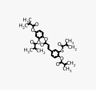 C=C(C)C(=O)Oc1ccc(OC(=O)/C=C/c2ccc(OC(=O)C(=C)C)c(SC(=O)C(=C)C)c2)c(OC(=O)C(=C)C)c1